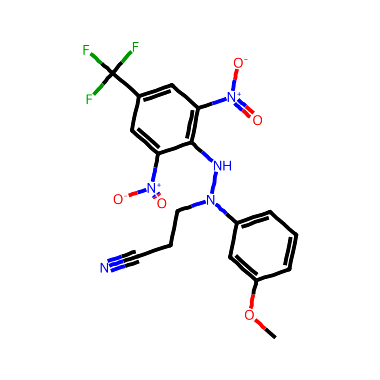 COc1cccc(N(CCC#N)Nc2c([N+](=O)[O-])cc(C(F)(F)F)cc2[N+](=O)[O-])c1